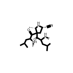 CC(C)CC(NF)C(=O)C1(C(=O)C(CC(C)C)NF)C[C@@H](C#N)N[C@H]1C